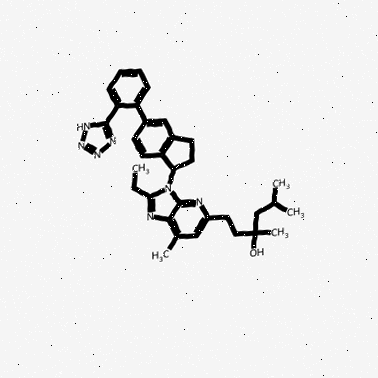 CCc1nc2c(C)cc(CCC(C)(O)CC(C)C)nc2n1C1CCc2cc(-c3ccccc3-c3nnn[nH]3)ccc21